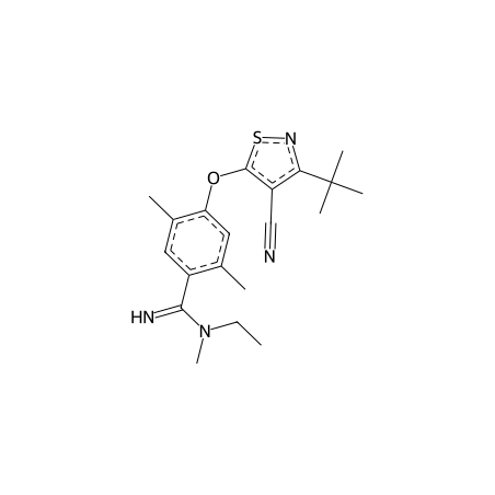 CCN(C)C(=N)c1cc(C)c(Oc2snc(C(C)(C)C)c2C#N)cc1C